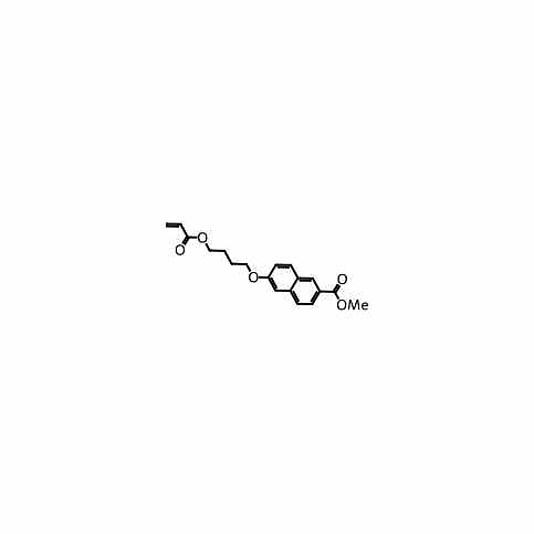 C=CC(=O)OCCCCOc1ccc2cc(C(=O)OC)ccc2c1